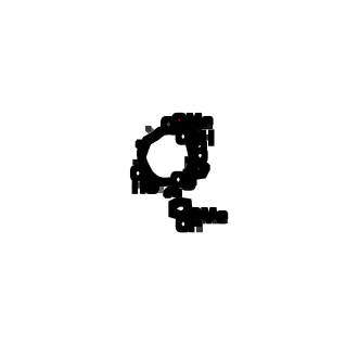 CO[C@H]1C[C@@H](C)C/C(C)=C\[C@@H](C)C(=O)C[C@H](O)[C@@H](C)[C@@H](/C(C)=C/[C@@H]2CC[C@@H](O)[C@H](OC)C2)OC(=O)[C@@H]2CCCCN2C(=O)C(=O)[C@]2(O)O[C@H]1[C@@H](OC)C[C@H]2C